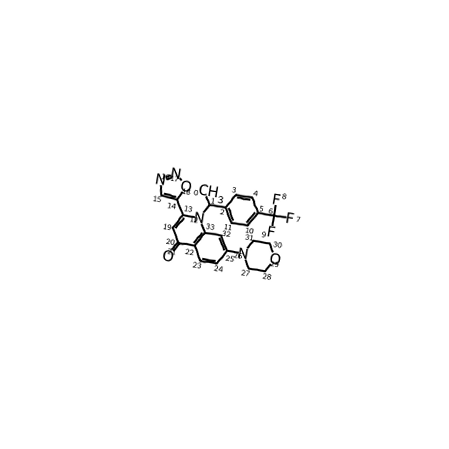 CC(c1ccc(C(F)(F)F)cc1)n1c(-c2cnno2)cc(=O)c2ccc(N3CCOCC3)cc21